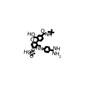 CC(C)(C)CNC(=O)c1ccc(-c2ccccc2CNc2ccc(C(=N)N)cc2)c(C(=O)O)c1.CS(=O)(=O)O